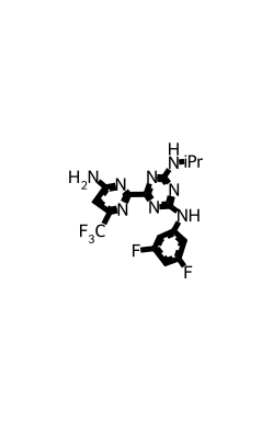 CC(C)Nc1nc(Nc2cc(F)cc(F)c2)nc(-c2nc(N)cc(C(F)(F)F)n2)n1